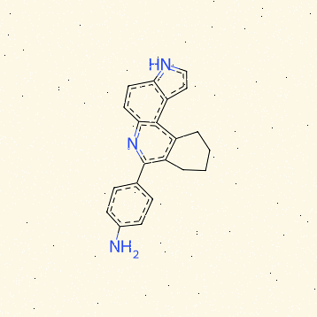 Nc1ccc(-c2nc3ccc4[nH]ccc4c3c3c2CCCC3)cc1